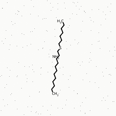 N.[CH2]CCCCCCCCCCCSCCCCCCC